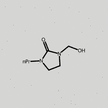 CCCN1CCN(CO)C1=O